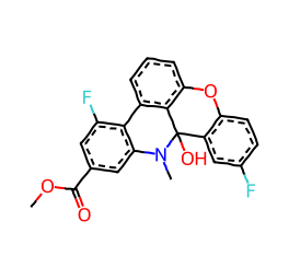 COC(=O)c1cc(F)c2c(c1)N(C)C1(O)c3cc(F)ccc3Oc3cccc-2c31